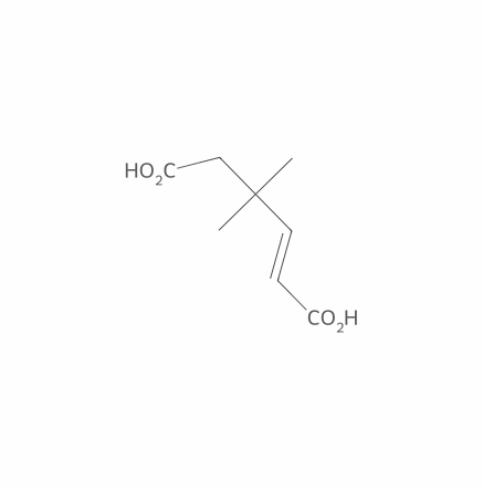 CC(C)(C=CC(=O)O)CC(=O)O